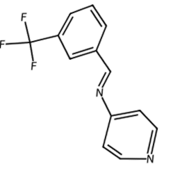 FC(F)(F)c1cccc(C=Nc2ccncc2)c1